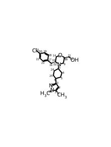 Cc1cc(C2CCC(N3C[C@H](CO)OC[C@@H]3Cc3ccc(Cl)cc3)CC2)nn1C